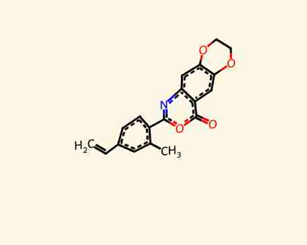 C=Cc1ccc(-c2nc3cc4c(cc3c(=O)o2)OCCO4)c(C)c1